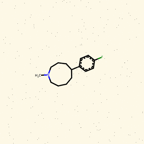 CN1CCCCC(c2ccc(F)cc2)CCC1